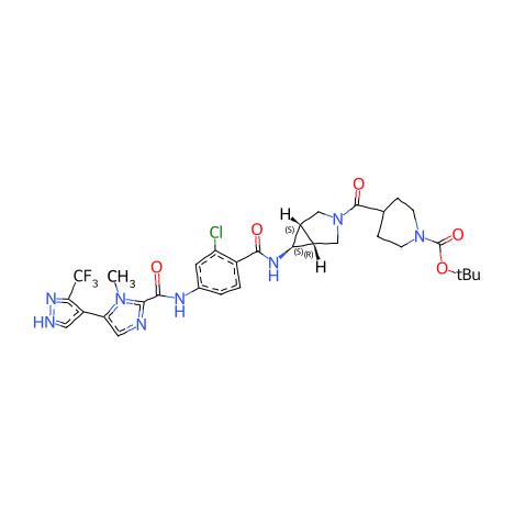 Cn1c(-c2c[nH]nc2C(F)(F)F)cnc1C(=O)Nc1ccc(C(=O)N[C@H]2[C@@H]3CN(C(=O)C4CCN(C(=O)OC(C)(C)C)CC4)C[C@@H]32)c(Cl)c1